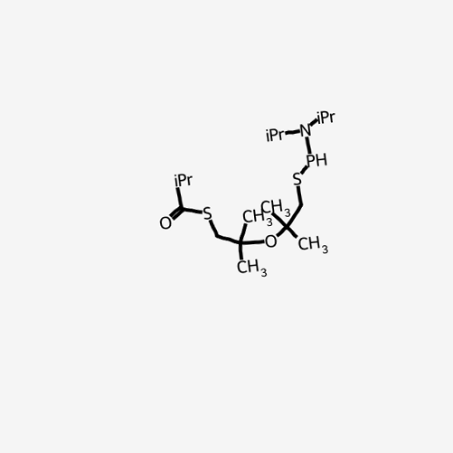 CC(C)C(=O)SCC(C)(C)OC(C)(C)CSPN(C(C)C)C(C)C